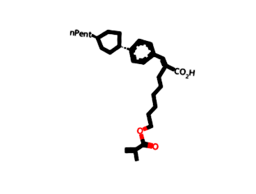 C=C(C)C(=O)OCCCCCCC(=Cc1ccc([C@H]2CC[C@H](CCCCC)CC2)cc1)C(=O)O